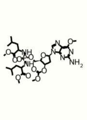 COC(=O)O[C@@H]1C[C@H](n2cnc3c(OC)nc(N)nc32)O[C@@H]1COP(=O)(NC(CC(C)C)C(=O)OC)NC(CC(C)C)C(=O)OC